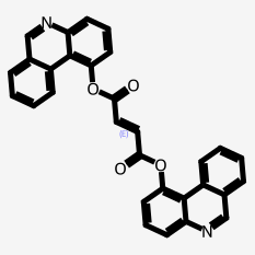 O=C(/C=C/C(=O)Oc1cccc2ncc3ccccc3c12)Oc1cccc2ncc3ccccc3c12